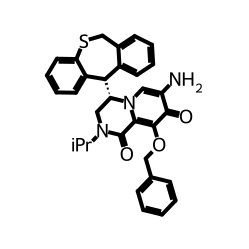 CC(C)N1C[C@H](C2c3ccccc3CSc3ccccc32)n2cc(N)c(=O)c(OCc3ccccc3)c2C1=O